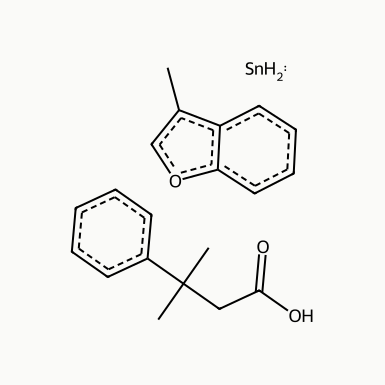 CC(C)(CC(=O)O)c1ccccc1.Cc1coc2ccccc12.[SnH2]